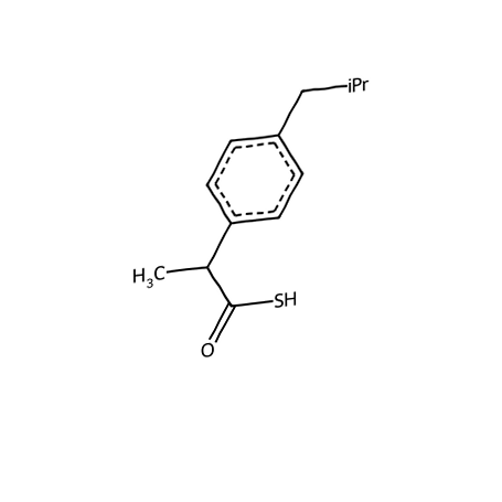 CC(C)Cc1ccc(C(C)C(=O)S)cc1